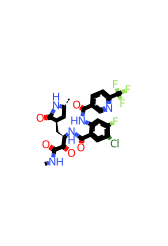 CNC(=O)C(=O)[C@H](C[C@@H]1C[C@@H](C)NC1=O)NC(=O)c1cc(Cl)c(F)cc1NC(=O)c1ccc(C(F)(F)F)nc1